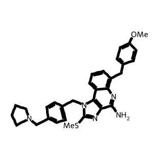 COc1ccc(Cc2cccc3c2nc(N)c2nc(SC)n(Cc4ccc(CN5CCCC5)cc4)c23)cc1